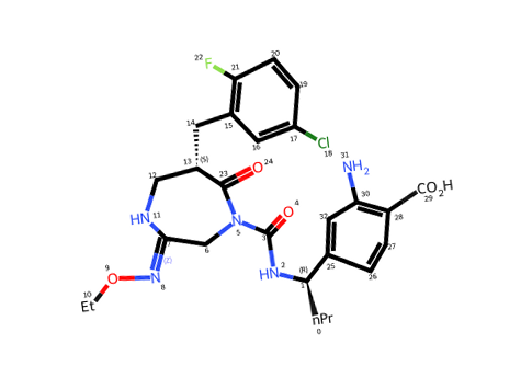 CCC[C@@H](NC(=O)N1C/C(=N/OCC)NC[C@H](Cc2cc(Cl)ccc2F)C1=O)c1ccc(C(=O)O)c(N)c1